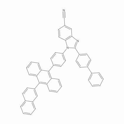 N#Cc1ccc2c(c1)nc(-c1ccc(-c3ccccc3)cc1)n2-c1ccc(-c2c3ccccc3c(-c3ccc4ccccc4c3)c3ccccc23)cc1